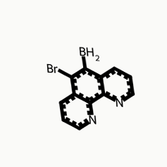 Bc1c(Br)c2cccnc2c2ncccc12